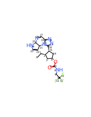 CC[C@@H]1C[C@H](OC(=O)NCC(F)(F)F)C[C@@H]1c1nnc2n1C1C=CNC1N=C2